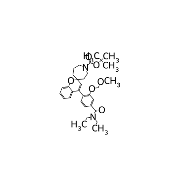 CCN(CC)C(=O)c1ccc(C2=CC3(CCCN(C(=O)OC(C)(C)C)CC3)Oc3ccccc32)c(OCOC)c1